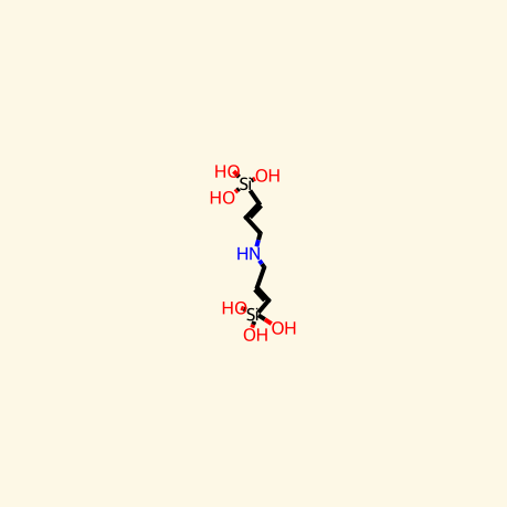 O[Si](O)(O)C=CCNCC=C[Si](O)(O)O